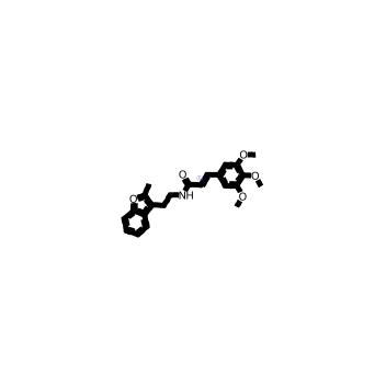 COc1cc(/C=C/C(=O)NCCc2c(C)oc3ccccc23)cc(OC)c1OC